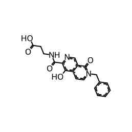 O=C(O)CCNC(=O)c1ncc2c(=O)n(Cc3ccccc3)ccc2c1O